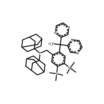 C[Si](C)(C)c1cc(CP(C23CC4CC(CC(C4)C2)C3)C23CC4CC(CC(C4)C2)C3)c(C(P)(c2cnccn2)c2cnccn2)cc1[Si](C)(C)C